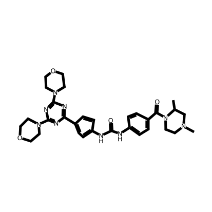 CC1CN(C)CCN1C(=O)c1ccc(NC(=O)Nc2ccc(-c3nc(N4CCOCC4)nc(N4CCOCC4)n3)cc2)cc1